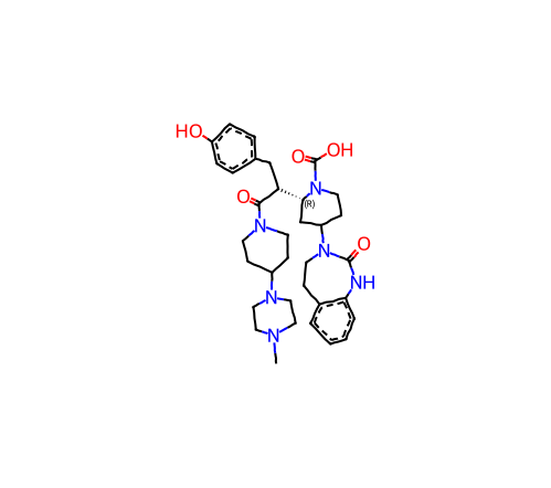 CN1CCN(C2CCN(C(=O)C(Cc3ccc(O)cc3)[C@H]3CC(N4CCc5ccccc5NC4=O)CCN3C(=O)O)CC2)CC1